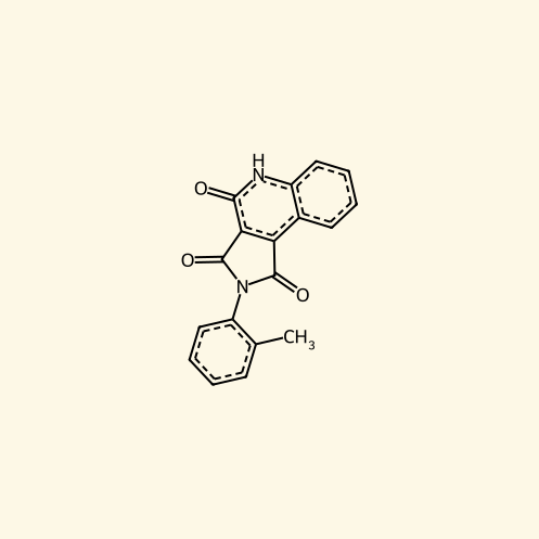 Cc1ccccc1N1C(=O)c2c(c3ccccc3[nH]c2=O)C1=O